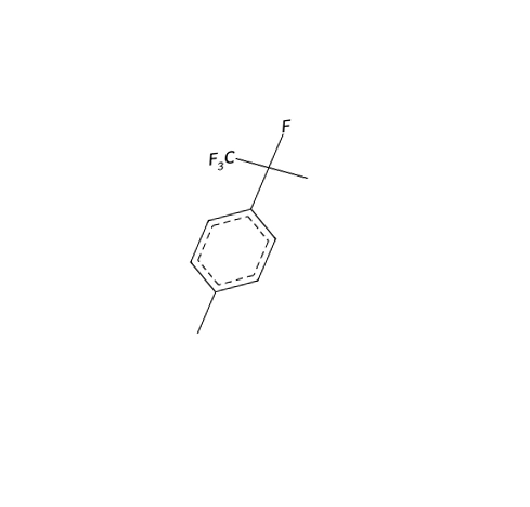 Cc1ccc(C(C)(F)C(F)(F)F)cc1